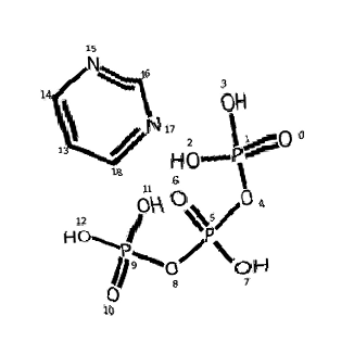 O=P(O)(O)OP(=O)(O)OP(=O)(O)O.c1cncnc1